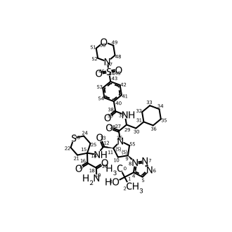 CC(C)(O)c1cnnn1[C@H]1C[C@@H](C(=O)NC2(C(=O)C(N)=O)CCSCC2)N(C(=O)C(CC2CCCCC2)NC(=O)c2ccc(S(=O)(=O)N3CCOCC3)cc2)C1